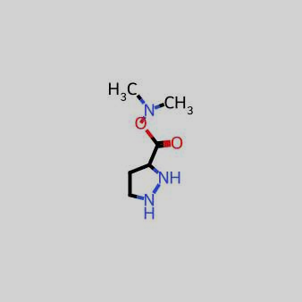 CN(C)OC(=O)C1CCNN1